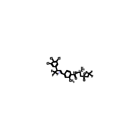 Cc1cc(/C=C/C(c2cc(Cl)c(Cl)c(Cl)c2)C(F)(F)F)ccc1C(=O)N[C@H](C)CS(=O)(=O)CC(F)(F)F